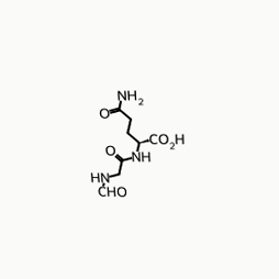 NC(=O)CC[C@H](NC(=O)CNC=O)C(=O)O